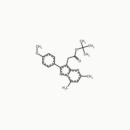 COc1ccc(-c2nn3c(C)cc(C)nc3c2CC(=O)OC(C)(C)C)cc1